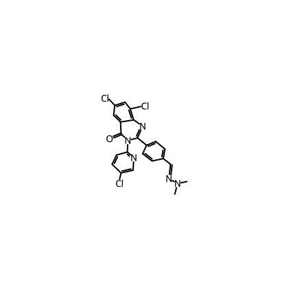 CN(C)N=Cc1ccc(-c2nc3c(Cl)cc(Cl)cc3c(=O)n2-c2ccc(Cl)cn2)cc1